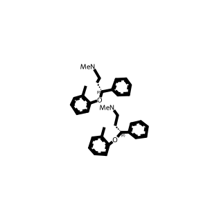 CNCC[C@@H](Oc1ccccc1C)c1ccccc1.CNCC[C@@H](Oc1ccccc1C)c1ccccc1